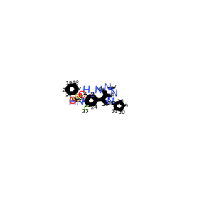 Nc1ncnc2c1c(-c1ccc(NS(=O)(=O)c3ccccc3)c(F)c1)cn2C1CCCC1